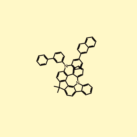 CC1(C)c2ccc(N(c3cccc(-c4ccccc4)c3)c3cccc(-c4ccc5ccccc5c4)c3)c3c2-c2c1ccc1c4ccccc4n(c21)-c1ccccc1-3